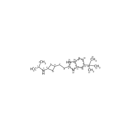 CC(C)NC1CC(CCc2nc3cc(C(C)(C)C)ccc3[nH]2)C1